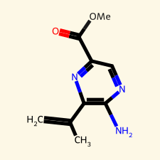 C=C(C)c1nc(C(=O)OC)cnc1N